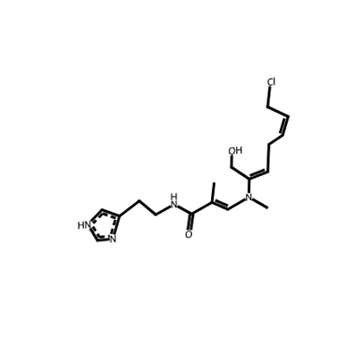 C/C(=C\N(C)/C(=C/C/C=C\CCl)CO)C(=O)NCCc1c[nH]cn1